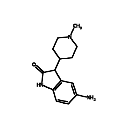 CN1CCC(C2C(=O)Nc3ccc(N)cc32)CC1